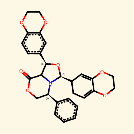 O=C1OC[C@H](c2ccccc2)N2C1[C@@H](c1ccc3c(c1)OCCO3)O[C@H]2C1C=C2OCCOC2=CC1